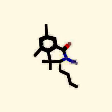 CCCC[C@H]1N(N)C(=O)c2cc(C)cc(C)c2C1(C)C